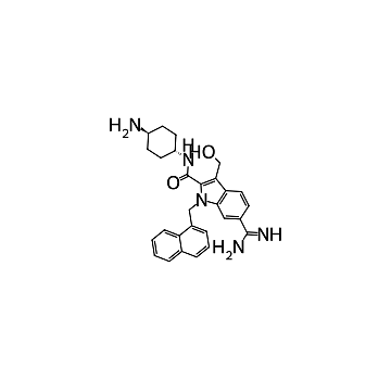 N=C(N)c1ccc2c(CO)c(C(=O)N[C@H]3CC[C@H](N)CC3)n(Cc3cccc4ccccc34)c2c1